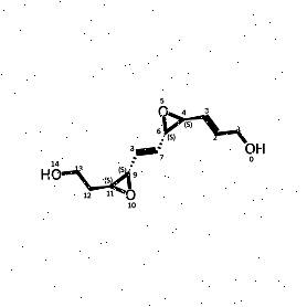 OCC=C[C@@H]1O[C@H]1C=C[C@@H]1O[C@H]1CCO